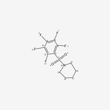 O=S(=O)(c1c(F)c(F)c(F)c(F)c1F)N1CCCCC1